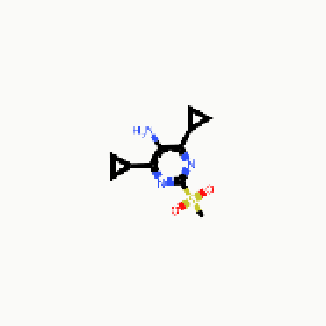 CS(=O)(=O)c1nc(C2CC2)c(N)c(C2CC2)n1